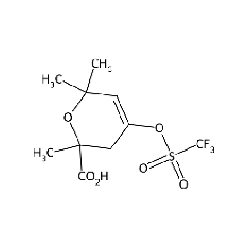 CC1(C)C=C(OS(=O)(=O)C(F)(F)F)CC(C)(C(=O)O)O1